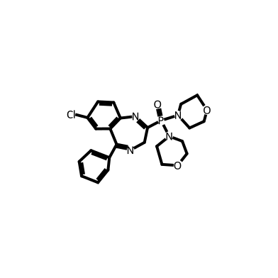 O=P(C1=Nc2ccc(Cl)cc2C(c2ccccc2)=NC1)(N1CCOCC1)N1CCOCC1